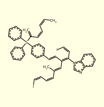 C=C(/C=C\C=C/C)S(c1ccccc1)(c1ccccc1)c1ccc(/C=C/C(/C=C(C)/C=C\C=C/I)=C(\C=C/I)n2cnc3ccccc32)cc1